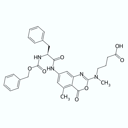 Cc1cc(NC(=O)[C@H](Cc2ccccc2)NC(=O)OCc2ccccc2)cc2nc(N(C)CCCC(=O)O)oc(=O)c12